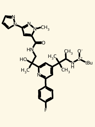 CC(N[S+]([O-])C(C)(C)C)C(C)(C)c1cc(-c2ccc(F)cc2)nc(C(C)(O)CNC(=O)c2cc(-n3cccn3)nn2C)c1